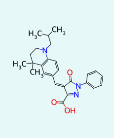 CC(C)CN1CCC(C)(C)c2cc(/C=C3\C(=O)N(c4ccccc4)N=C3C(=O)O)ccc21